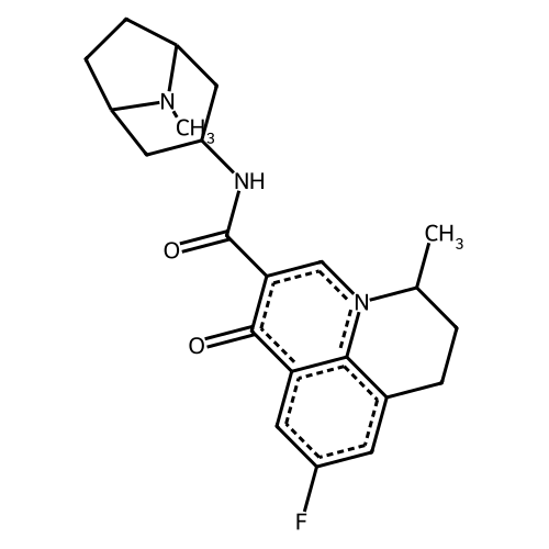 CC1CCc2cc(F)cc3c(=O)c(C(=O)NC4CC5CCC(C4)N5C)cn1c23